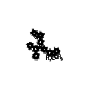 CC1(C)c2ccccc2-c2cc(-c3ccc(N(c4ccc(-c5cccc6c5sc5ccccc56)cc4)c4cc(-c5ccccc5)cc(-c5ccccc5)c4)cc3)ccc21